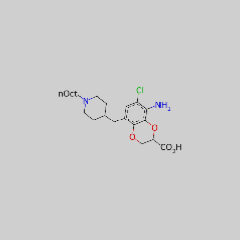 CCCCCCCCN1CCC(Cc2cc(Cl)c(N)c3c2OCC(C(=O)O)O3)CC1